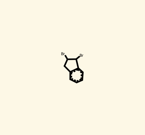 BrC1Cc2ccccc2C1Br